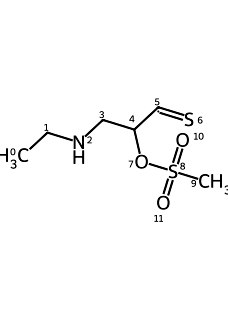 CCNCC([C]=S)OS(C)(=O)=O